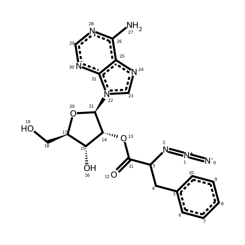 [N-]=[N+]=NC(Cc1ccccc1)C(=O)O[C@@H]1[C@H](O)[C@@H](CO)O[C@H]1n1cnc2c(N)ncnc21